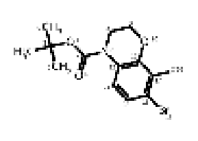 CC(C)(C)OC(=O)N1CCOc2c1ccc(Br)c2F